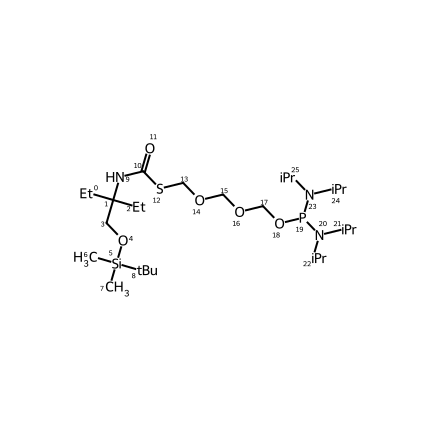 CCC(CC)(CO[Si](C)(C)C(C)(C)C)NC(=O)SCOCOCOP(N(C(C)C)C(C)C)N(C(C)C)C(C)C